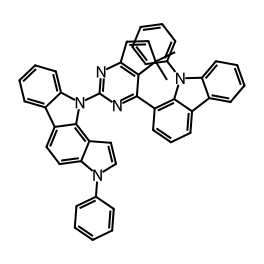 CC1(C)C=Cc2nc(-n3c4ccccc4c4ccc5c(ccn5-c5ccccc5)c43)nc(-c3cccc4c5ccccc5n(-c5ccccc5)c34)c21